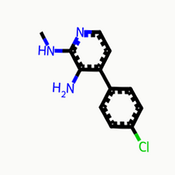 CNc1nccc(-c2ccc(Cl)cc2)c1N